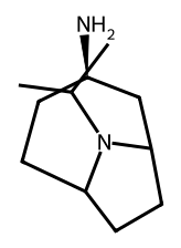 CC(C)N1C2CCC1C[C@H](N)CC2